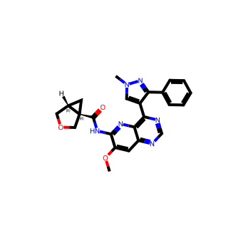 COc1cc2ncnc(-c3cn(C)nc3-c3ccccc3)c2nc1NC(=O)[C@@]12COC[C@@H]1C2